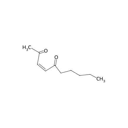 CCCCCC(=O)/C=C\C(C)=O